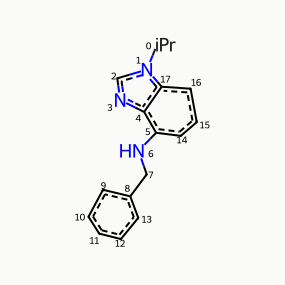 CC(C)n1cnc2c(NCc3ccccc3)cccc21